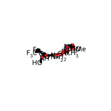 COc1cccc(CN(C)/N=C\c2c(C=O)n(C)c3nc(COCC/C(N)=C/N(N)CCCOc4ccc(OCc5ccc(F)c(C(F)(F)F)c5)c(CNCCO)c4)sc23)c1